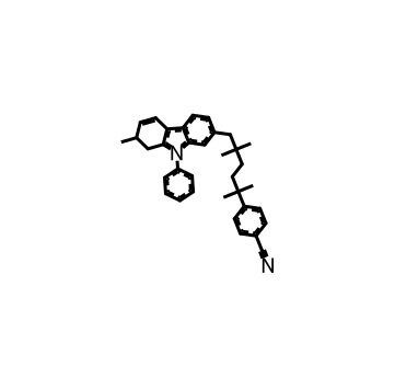 CC1C=Cc2c(n(-c3ccccc3)c3cc(CC(C)(C)CCC(C)(C)c4ccc(C#N)cc4)ccc23)C1